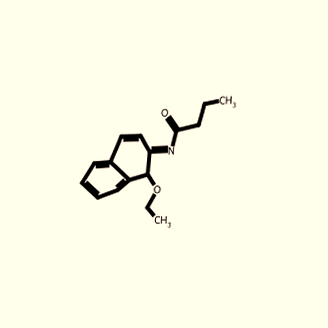 CCCC(=O)/N=C1\C=Cc2ccccc2C1OCC